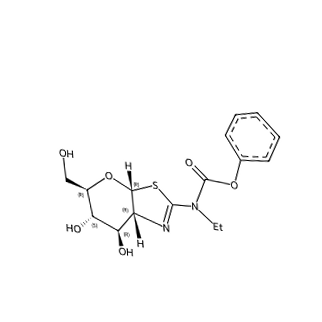 CCN(C(=O)Oc1ccccc1)C1=N[C@@H]2[C@@H](O)[C@H](O)[C@@H](CO)O[C@@H]2S1